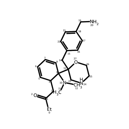 CCC(=O)CC1C=CC=CC1(N(C)C)C1(Cc2ccc(CN)cc2)CNCCO1